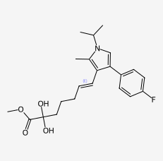 COC(=O)C(O)(O)CCC/C=C/c1c(-c2ccc(F)cc2)cn(C(C)C)c1C